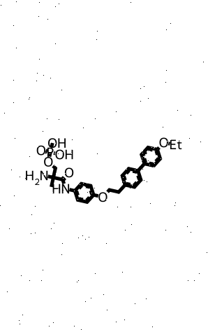 CCOc1ccc(-c2ccc(CCOc3ccc(NC(=O)C(C)(N)COP(=O)(O)O)cc3)cc2)cc1